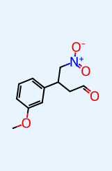 COc1cccc(C(CC=O)C[N+](=O)[O-])c1